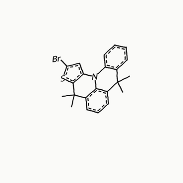 CC1(C)c2ccccc2N2c3cc(Br)sc3C(C)(C)c3cccc1c32